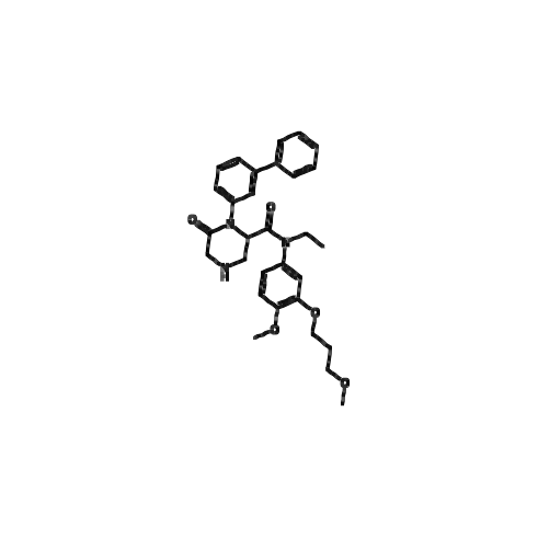 CCN(C(=O)C1CNCC(=O)N1c1cccc(-c2ccccc2)c1)c1ccc(OC)c(OCCCOC)c1